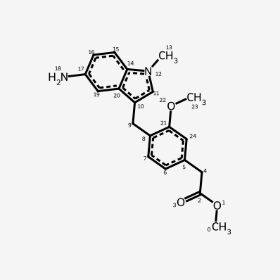 COC(=O)Cc1ccc(Cc2cn(C)c3ccc(N)cc23)c(OC)c1